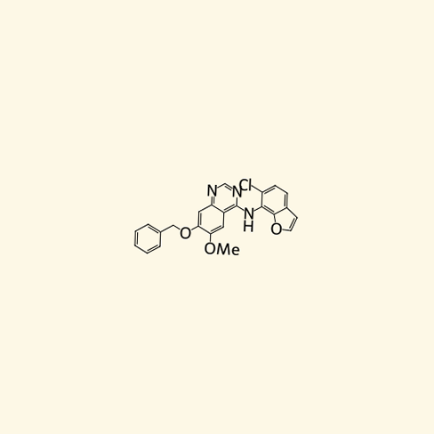 COc1cc2c(Nc3c(Cl)ccc4ccoc34)ncnc2cc1OCc1ccccc1